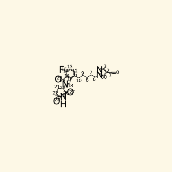 C#Cc1cnn(CCCCCc2ccc(F)c3c2CN(C2CCC(=O)NC2=O)C3=O)c1